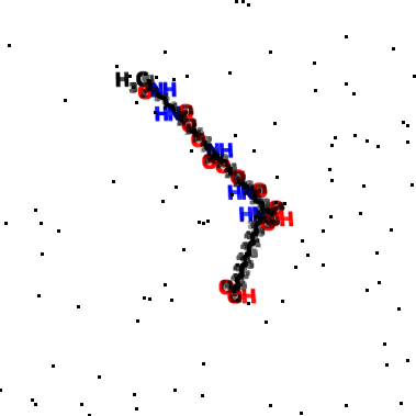 CCC(=O)NCCCCNC(=O)COCCOCCNC(=O)COCCOCCNC(=O)CC[C@H](NC(=O)CCCCCCCCCCCCC(=O)O)C(=O)O